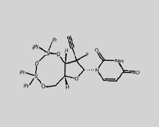 C#CC1(F)[C@H]2O[Si](C(C)C)(C(C)C)O[Si](C(C)C)(C(C)C)OC[C@H]2O[C@H]1n1ccc(=O)[nH]c1=O